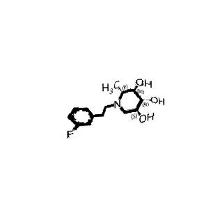 C[C@@H]1[C@@H](O)[C@H](O)[C@@H](O)CN1CCc1cccc(F)c1